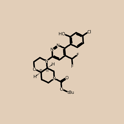 CC(C)(C)OC(=O)N1CC[C@H]2OCCN(c3cc(C(F)F)c(-c4ccc(Cl)cc4O)nn3)[C@H]2C1